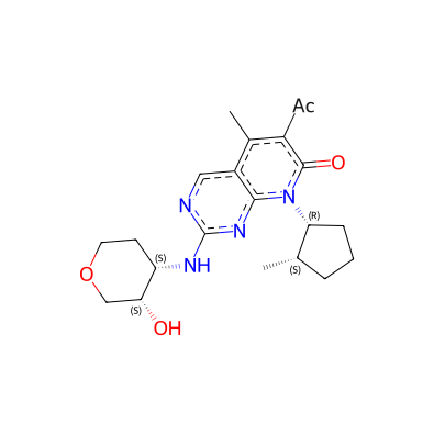 CC(=O)c1c(C)c2cnc(N[C@H]3CCOC[C@H]3O)nc2n([C@@H]2CCC[C@@H]2C)c1=O